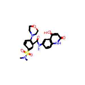 CN(C)S(=O)(=O)c1ccc(N2CCOCC2)c(C(=O)Nc2ccc3[nH]c(=O)cc(O)c3c2)c1